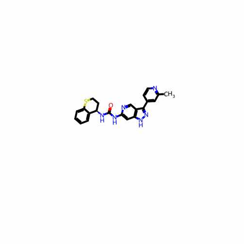 Cc1cc(-c2n[nH]c3cc(NC(=O)N[C@@H]4CCSc5ccccc54)ncc23)ccn1